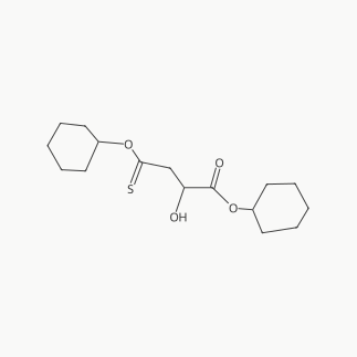 O=C(OC1CCCCC1)C(O)CC(=S)OC1CCCCC1